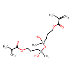 C=C(C)C(=O)OCCC[Si](C)(O)O[Si](C)(O)CCCOC(=O)C(=C)C